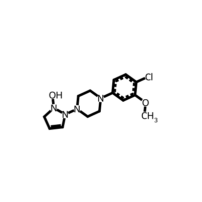 COc1cc(N2CCN(N3C=CCN3O)CC2)ccc1Cl